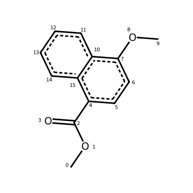 COC(=O)c1ccc(OC)c2ccccc12